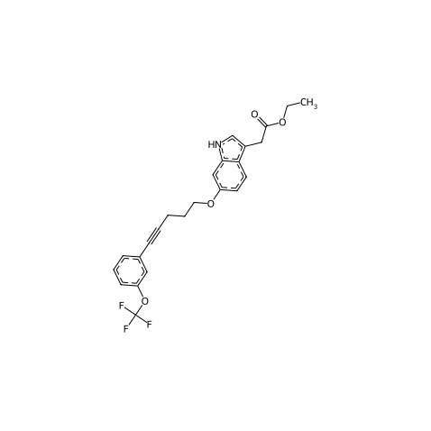 CCOC(=O)Cc1c[nH]c2cc(OCCCC#Cc3cccc(OC(F)(F)F)c3)ccc12